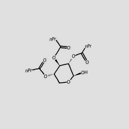 CCCC(=O)O[C@H]1[C@H](OC(=O)CCC)[C@@H](O)OC[C@@H]1OC(=O)CCC